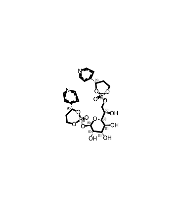 O=[P@]1(OC[C@@H](O)[C@H]2O[C@H](O[P@]3(=O)OCC[C@H](c4ccncc4)O3)[C@@H](O)[C@@H](O)[C@@H]2O)OCC[C@@H](c2ccncc2)O1